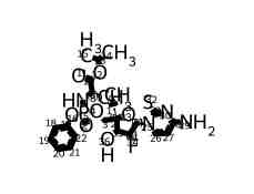 C#C[C@]1(COP(=O)(N[C@@H](C)C(=O)OC(C)C)Oc2ccccc2)O[C@@H](n2ccc(N)nc2=S)[C@@H](F)C1O